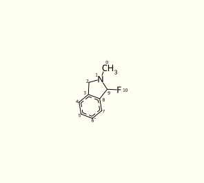 CN1Cc2cc[c]cc2C1F